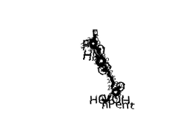 CCCCCC(O)/C=C/[C@H]1[C@H](O)CC(=O)[C@@H]1CCCCCCC(=O)Oc1ccc(NC(=O)c2cc(F)cc(F)c2)cc1